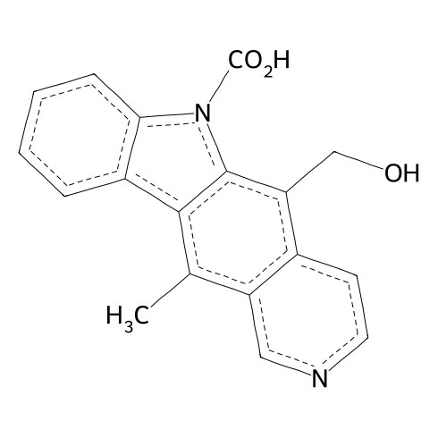 Cc1c2cnccc2c(CO)c2c1c1ccccc1n2C(=O)O